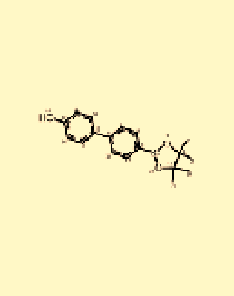 CC1(C)OB(c2ccc(-c3ccc(O)cc3)cc2)OC1(C)C